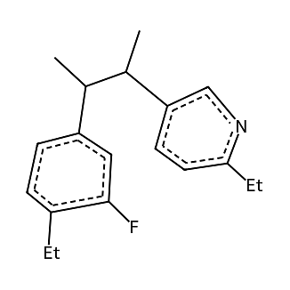 CCc1ccc(C(C)C(C)c2ccc(CC)c(F)c2)cn1